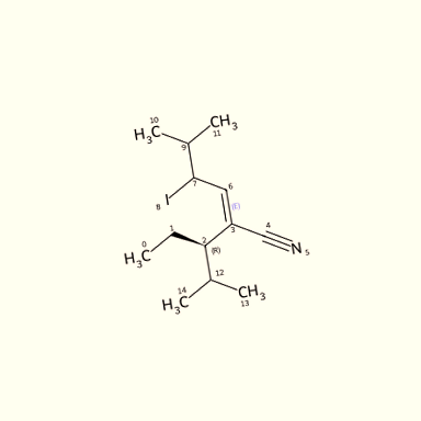 CC[C@@H](/C(C#N)=C\C(I)C(C)C)C(C)C